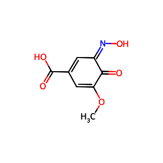 COC1=CC(C(=O)O)=C/C(=N/O)C1=O